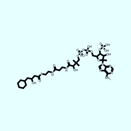 CC(C)(COP(=O)(O)OP(=O)(O)OCC1OC(C)(n2cnc3c(N)ncnc32)C(O)C1OP(=O)(O)O)C(O)C(=O)NCCC(=O)NCCSC(=O)CC(O)CC1CCCCC1